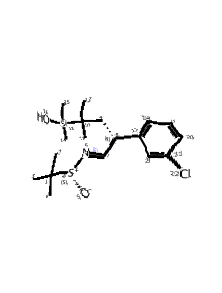 CC(C)(C)[S@@+]([O-])/N=C/[C@H](CC(C)(C)[Si](C)(C)O)c1cccc(Cl)c1